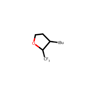 CC(C)(C)C1CCOC1C(F)(F)F